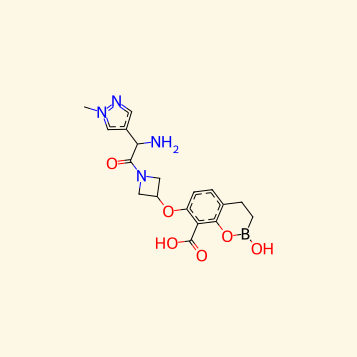 Cn1cc(C(N)C(=O)N2CC(Oc3ccc4c(c3C(=O)O)OB(O)CC4)C2)cn1